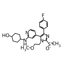 COCCn1c([S+](C)[O-])nc(-c2ccc(F)cc2)c1-c1ccnc(NC2CCC(O)CC2)c1